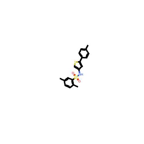 Cc1ccc(-c2cc(NS(=O)(=O)c3cc(C)ccc3C)cs2)cc1